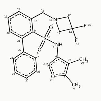 Cc1onc(NS(=O)(=O)c2c(CN3CC(F)(F)C3)cccc2-c2ccccc2)c1C